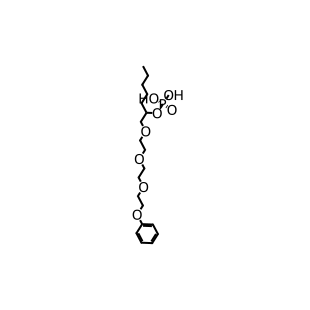 CCCCCC(COCCOCCOCCOc1ccccc1)OP(=O)(O)O